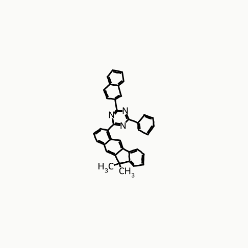 CC1(C)c2ccccc2-c2cc3c(-c4nc(-c5ccccc5)nc(-c5ccc6ccccc6c5)n4)cccc3cc21